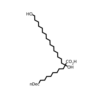 CCCCCCCCCCCCCCCCCCC(O)(CCCCCCCCCCCCCCCCO)C(=O)O